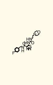 O=C(NCCN1CCOCC1)Nc1snnc1C(=O)NCc1ccc(F)cc1